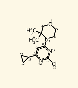 CC1(C)COCCN1c1cc(C2CC2)nc(Cl)n1